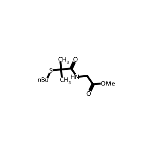 CCCCSC(C)(C)C(=O)NCC(=O)OC